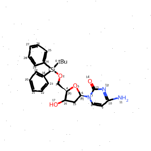 CC(C)(C)[Si](OC[C@H]1O[C@@H](n2ccc(N)nc2=O)CC1O)(c1ccccc1)c1ccccc1